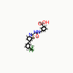 O=C(Cc1nc2ccc(-c3cccc(C(F)(F)F)c3)cc2s1)NCc1cccc(C(=O)O)c1